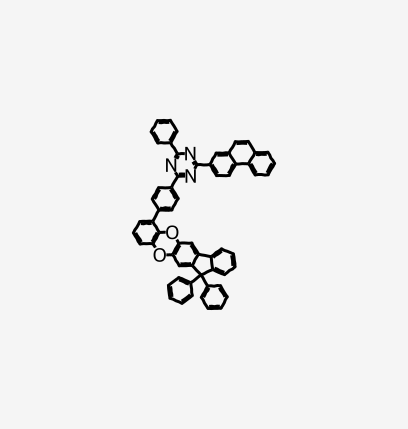 c1ccc(-c2nc(-c3ccc(-c4cccc5c4Oc4cc6c(cc4O5)C(c4ccccc4)(c4ccccc4)c4ccccc4-6)cc3)nc(-c3ccc4c(ccc5ccccc54)c3)n2)cc1